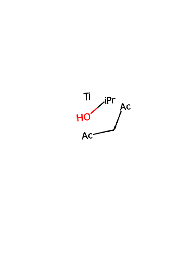 CC(=O)CC(C)=O.CC(C)O.[Ti]